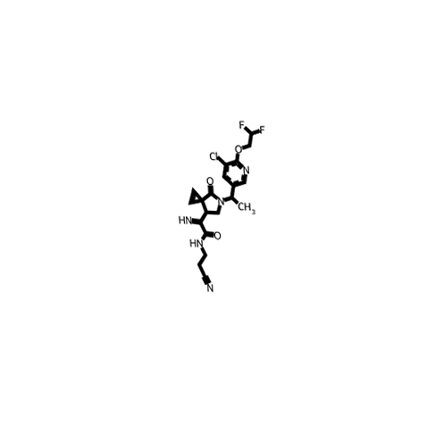 CC(c1cnc(OCC(F)F)c(Cl)c1)N1CC(C(=N)C(=O)NCCC#N)C2(C=C2)C1=O